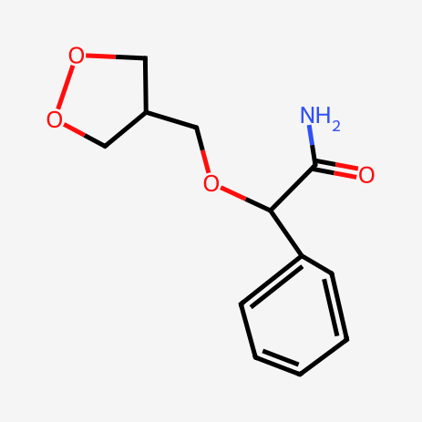 NC(=O)C(OCC1COOC1)c1ccccc1